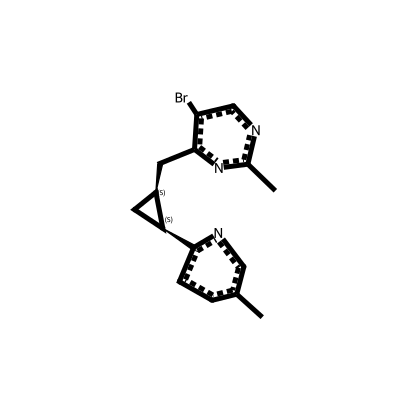 Cc1ccc([C@H]2C[C@H]2Cc2nc(C)ncc2Br)nc1